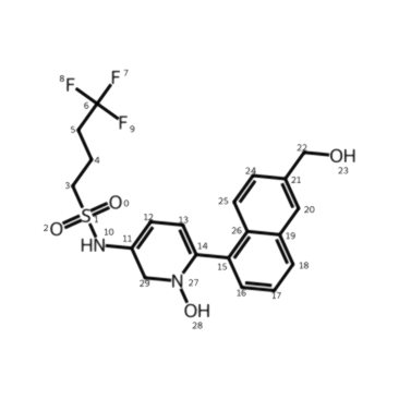 O=S(=O)(CCCC(F)(F)F)NC1=CC=C(c2cccc3cc(CO)ccc23)N(O)C1